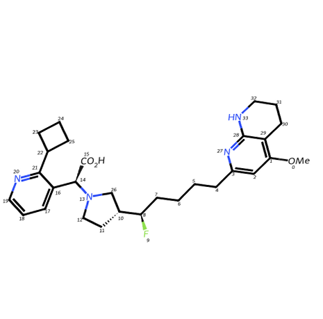 COc1cc(CCCC[C@@H](F)[C@@H]2CCN([C@H](C(=O)O)c3cccnc3C3CCC3)C2)nc2c1CCCN2